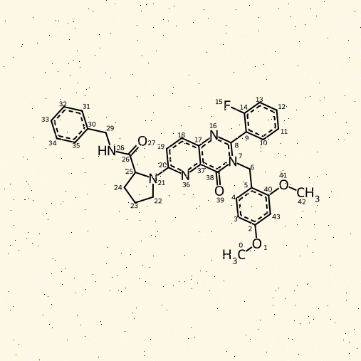 COc1ccc(Cn2c(-c3ccccc3F)nc3ccc(N4CCCC4C(=O)NCc4ccccc4)nc3c2=O)c(OC)c1